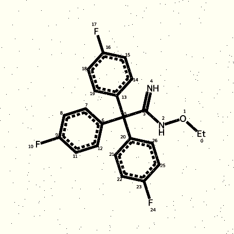 CCONC(=N)C(c1ccc(F)cc1)(c1ccc(F)cc1)c1ccc(F)cc1